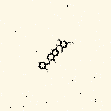 O=C1c2ccc(Oc3c(Cl)cc([N+](=O)[O-])cc3Cl)cc2CCN1Cc1ccccc1F